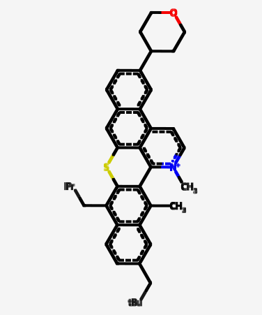 Cc1c2c(c(CC(C)C)c3ccc(CC(C)(C)C)cc13)Sc1cc3ccc(C4CCOCC4)cc3c3cc[n+](C)c-2c13